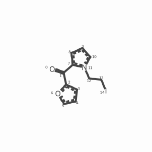 O=C(c1ccco1)c1cccn1CCI